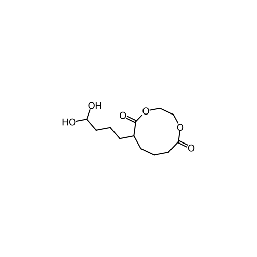 O=C1CCCC(CCCC(O)O)C(=O)OCCO1